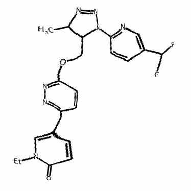 CCn1cc(-c2ccc(OCC3C(C)N=NN3c3ccc(C(F)F)cn3)nn2)ccc1=O